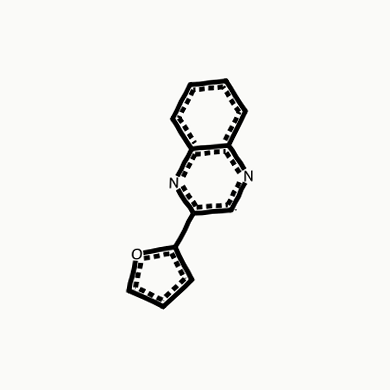 [c]1nc2ccccc2nc1-c1ccco1